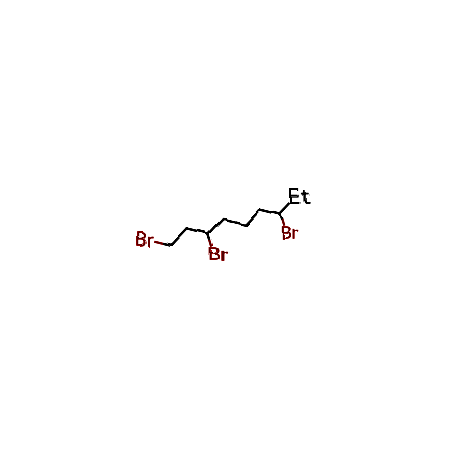 CCC(Br)CCCC(Br)CCBr